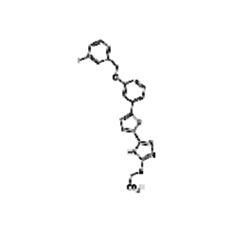 O=C(O)CSc1nnc(-c2ccc(-c3cccc(OCc4cccc(I)c4)c3)o2)[nH]1